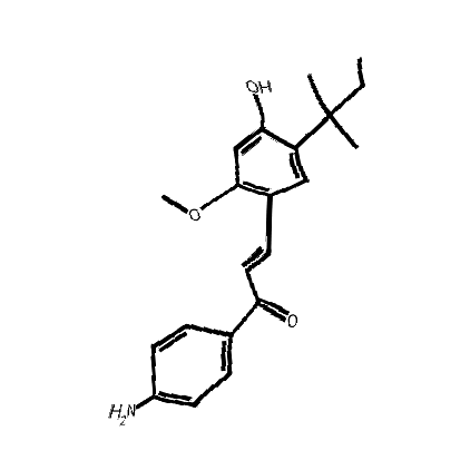 CCC(C)(C)c1cc(C=CC(=O)c2ccc(N)cc2)c(OC)cc1O